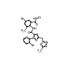 CCNC(=O)c1cc(Br)cc(C)c1NC(=O)c1cc(Cn2nnc(C(F)(F)F)n2)nn1-c1ncccc1Br